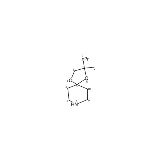 CCCC1(C)COC2(CCNCC2)O1